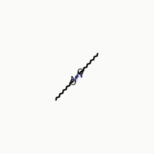 CCCCCCCCCCO/N=C/C=N/OCCCCCCCCCC